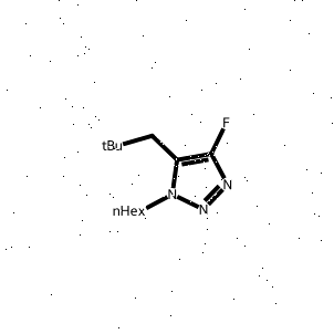 CCCCCCn1nnc(F)c1CC(C)(C)C